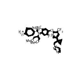 COCC(COC)N(c1cc(F)c(Oc2ncc(C3(Cn4ccnn4)CC3)cc2C(F)(F)F)cc1C(=O)O)C(=O)[C@H]1CC[C@H](C)CC1